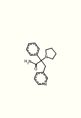 NC(=O)C(Cc1cccnc1)(c1ccccc1)N1CCCC1